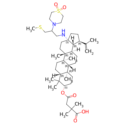 C=C(C)[C@@H]1CC[C@]2(NCC(CSC)N3CCS(=O)(=O)CC3)CC[C@]3(C)[C@H](CC[C@@H]4[C@@]5(C)CC[C@H](OC(=O)CC(C)(C)C(=O)O)C(C)(C)[C@@H]5CC[C@]43C)[C@@H]12